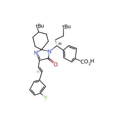 CC(C)(C)CC[C@H](c1ccc(C(=O)O)cc1)N1C(=O)C(/C=C/c2cccc(F)c2)=NC12CCC(C(C)(C)C)CC2